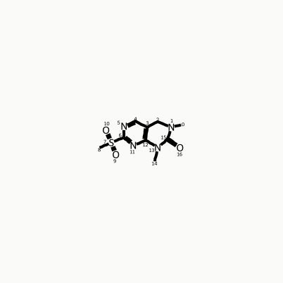 CN1Cc2cnc(S(C)(=O)=O)nc2N(C)C1=O